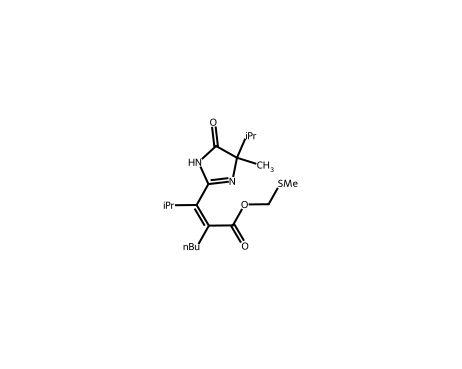 CCCCC(C(=O)OCSC)=C(C1=NC(C)(C(C)C)C(=O)N1)C(C)C